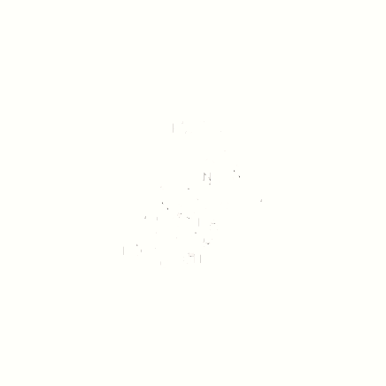 O=C(O)C1ON2CCc3c(c(=O)c4cccnc4n3-c3cccc(Cl)c3)[C@@H]2[C@@H]1C(=O)O